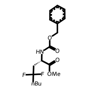 CCCCC(F)(F)C[C@H](NC(=O)OCc1ccccc1)C(=O)OC